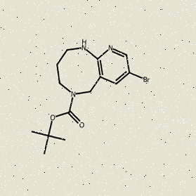 CC(C)(C)OC(=O)N1CCCNc2ncc(Br)cc2C1